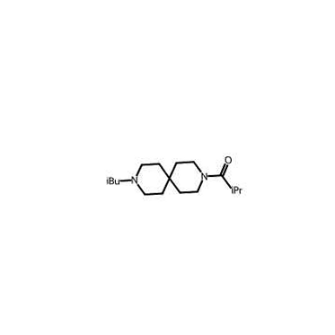 CCC(C)N1CCC2(CCN(C(=O)C(C)C)CC2)CC1